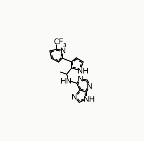 CC(Nc1ncnc2[nH]cnc12)c1[nH]ccc1-c1cccc(C(F)(F)F)n1